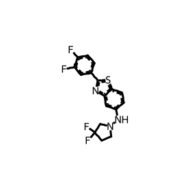 Fc1ccc(-c2nc3cc(NN4CCC(F)(F)C4)ccc3s2)cc1F